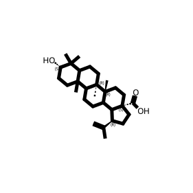 C=C(C)[C@@H]1CC[C@]2(C(=O)O)CC[C@]3(C)C(CCC4C5(C)CC[C@H](O)C(C)(C)C5CC[C@]43C)C12